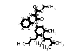 CCCCC1CC(n2c(=O)c(C(=O)OCC)nc3ccccc32)CC(C)N1C(C)CC(C)C